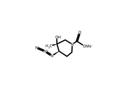 COC(=O)N1CC[C@@H](N=[N+]=[N-])[C@](C)(O)C1